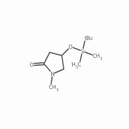 CN1CC(O[Si](C)(C)C(C)(C)C)CC1=O